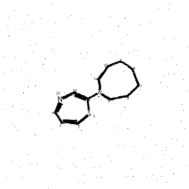 C1=CSC(N2CCCCCCC2)=CN=C1